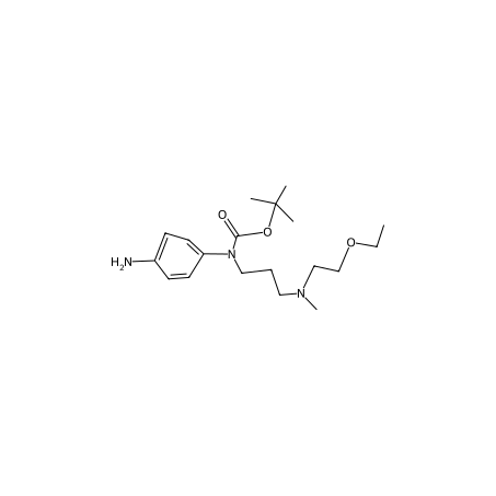 CCOCCN(C)CCCN(C(=O)OC(C)(C)C)c1ccc(N)cc1